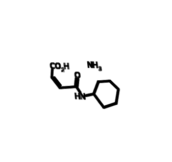 N.O=C(O)/C=C\C(=O)NC1CCCCC1